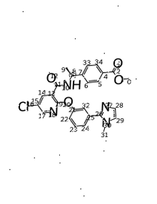 COC(=O)c1ccc([C@H](C)NC(=O)c2cc(Cl)cnc2Oc2cccc(-c3nccn3C)c2)cc1